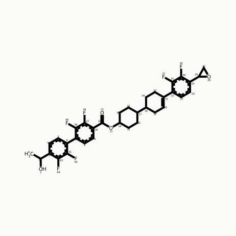 CC(O)c1ccc(-c2ccc(C(=O)OC3CCC(C4CC=C(c5ccc(C6CO6)c(F)c5F)CC4)CC3)c(F)c2F)c(F)c1F